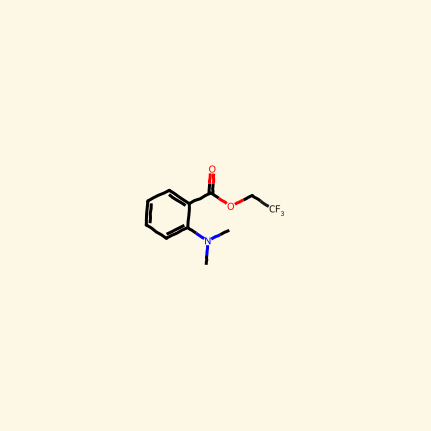 CN(C)c1ccccc1C(=O)OCC(F)(F)F